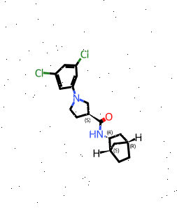 O=C(N[C@@H]1C[C@@H]2CC[C@H]1C2)[C@H]1CCN(c2cc(Cl)cc(Cl)c2)C1